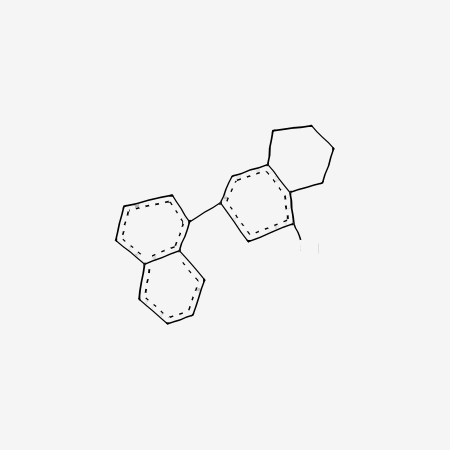 Cc1cc(-c2cccc3ccccc23)cc2c1CCC[C]2